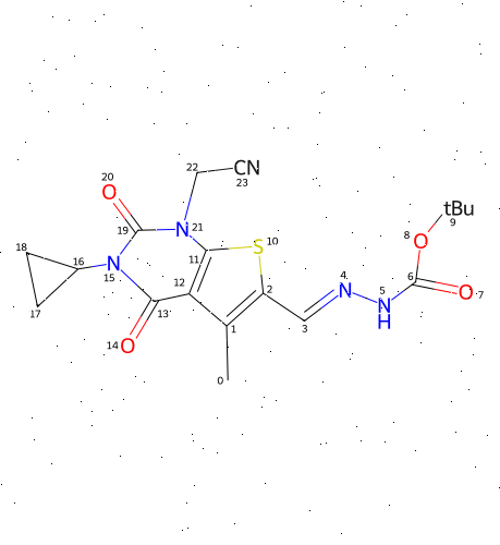 Cc1c(C=NNC(=O)OC(C)(C)C)sc2c1c(=O)n(C1CC1)c(=O)n2CC#N